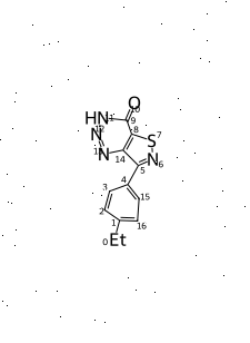 CCc1ccc(-c2nsc3c(=O)[nH]nnc23)cc1